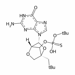 CC(C)(C)C[C@]12CO[C@@H](C1OP(O)(=S)OC(C)(C)C)[C@H](n1cnc3c(=O)[nH]c(N)nc31)O2